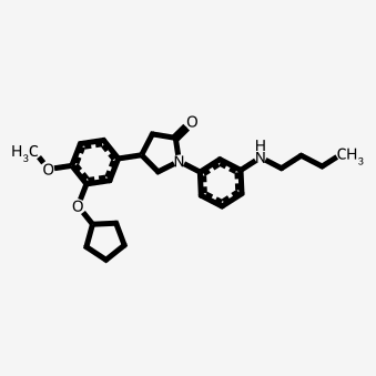 CCCCNc1cccc(N2CC(c3ccc(OC)c(OC4CCCC4)c3)CC2=O)c1